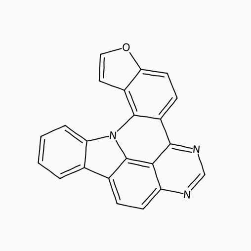 c1ccc2c(c1)c1ccc3ncnc4c5ccc6occc6c5n2c1c34